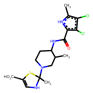 Cc1[nH]c(C(=O)NC2CCN(C3(C)NC=C(C(=O)O)S3)CC2C)c(Cl)c1Cl